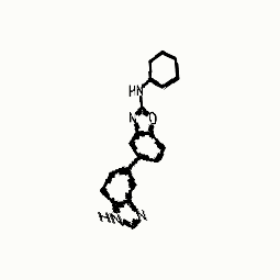 c1nc2cc(-c3ccc4oc(NC5CCCCC5)nc4c3)ccc2[nH]1